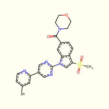 CC(C)c1ccnc(-c2cnc(-n3cc(S(C)(=O)=O)c4ccc(C(=O)N5CCOCC5)cc43)nc2)c1